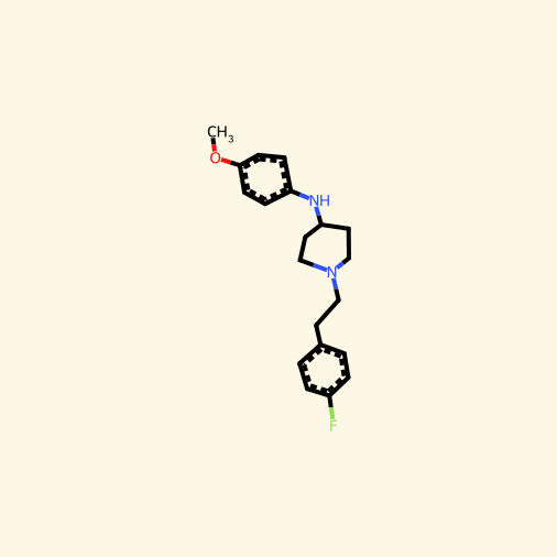 COc1ccc(NC2CCN(CCc3ccc(F)cc3)CC2)cc1